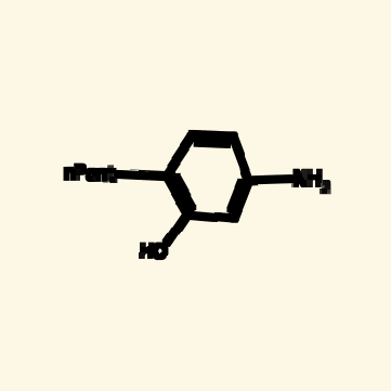 CCCCCc1ccc(N)cc1O